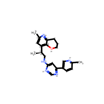 Cc1ccc(-c2cc(NC[C@@H](C)c3cc(C)nc4c3OCCC4)ncn2)cn1